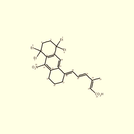 CCC1(CC)CCC(CC)(CC)c2c1cc1c(c2[N+](=O)[O-])CCCC1=CC=CC(C)=CC(=O)O